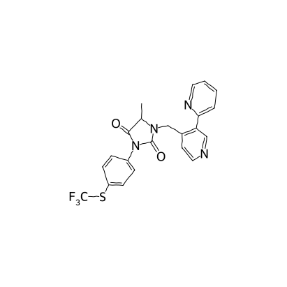 CC1C(=O)N(c2ccc(SC(F)(F)F)cc2)C(=O)N1Cc1ccncc1-c1ccccn1